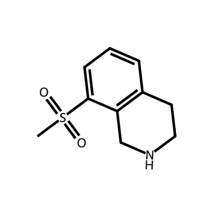 CS(=O)(=O)c1cccc2c1CNCC2